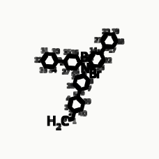 C=Cc1ccc(-c2ccc(N(C3(Br)C=CC(c4ccccc4)C=C3)C3(Br)C=CC(c4ccccc4)C=C3)cc2)cc1